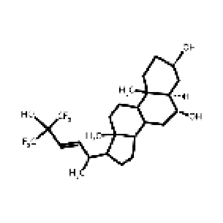 CC(/C=C/C(O)(C(F)(F)F)C(F)(F)F)C1CCC2C3C[C@H](O)[C@@H]4C[C@H](O)CCC4(C)C3CCC12C